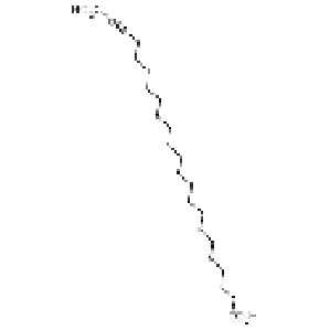 O=C(O)C#CCCCCCCCCCCCCCCCCCCCC(=O)O